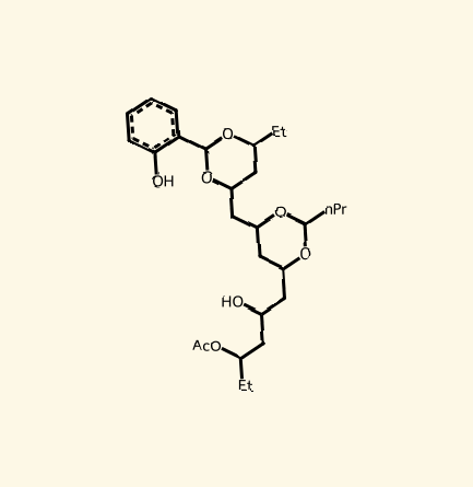 CCCC1OC(CC(O)CC(CC)OC(C)=O)CC(CC2CC(CC)OC(c3ccccc3O)O2)O1